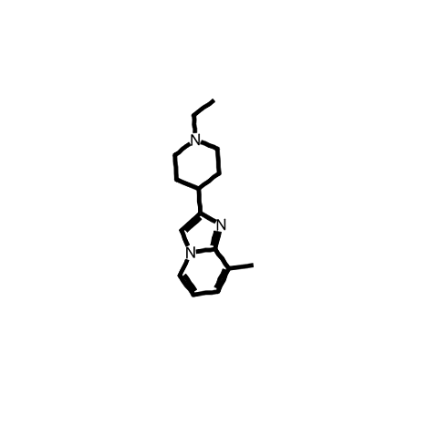 CCN1CCC(c2cn3cccc(C)c3n2)CC1